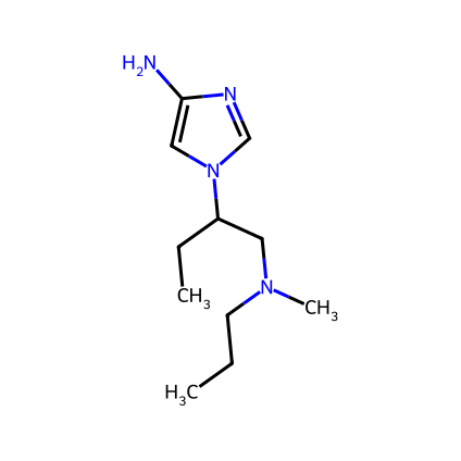 CCCN(C)CC(CC)n1cnc(N)c1